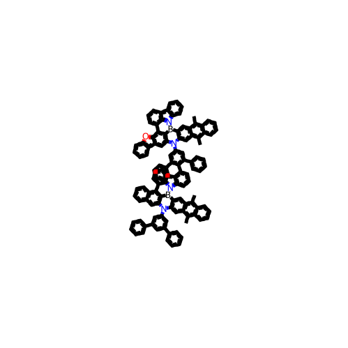 Cc1c2ccccc2c(C)c2cc3c(cc12)B1c2c(cc4ccccc4c2-c2cccc4c5c(-c6c(-c7ccccc7)cc(N7c8cc9c(C)c%10ccccc%10c(C)c9cc8B8c9c7cc7c(oc%10ccccc%107)c9-c7cccc9c%10ccccc%10n8c79)cc6-c6ccccc6)cccc5n1c24)N3c1cc(-c2ccccc2)cc(-c2ccccc2)c1